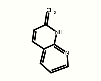 C=C1C=Cc2cccnc2N1